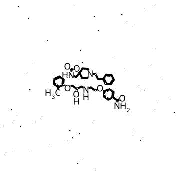 Cc1ccccc1OCC(O)CNCCOc1ccc(C(N)=O)cc1.O=C1NCC2(CCN(CCc3ccccc3)CC2)O1